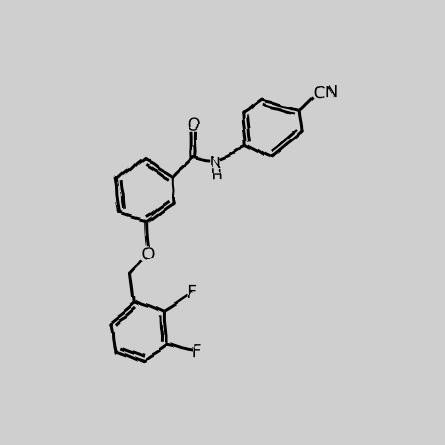 N#Cc1ccc(NC(=O)c2cccc(OCc3cccc(F)c3F)c2)cc1